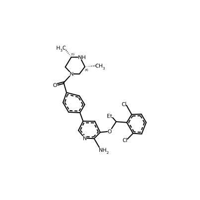 CCC(Oc1cc(-c2ccc(C(=O)N3C[C@@H](C)N[C@@H](C)C3)cc2)cnc1N)c1c(Cl)cccc1Cl